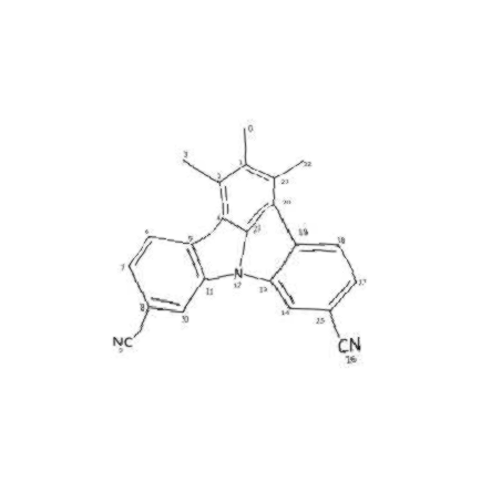 Cc1c(C)c2c3ccc(C#N)cc3n3c4cc(C#N)ccc4c(c1C)c23